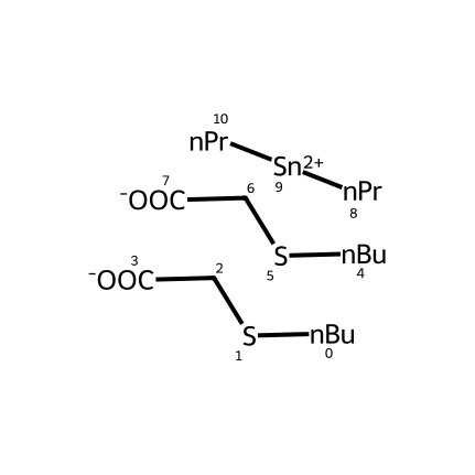 CCCCSCC(=O)[O-].CCCCSCC(=O)[O-].CC[CH2][Sn+2][CH2]CC